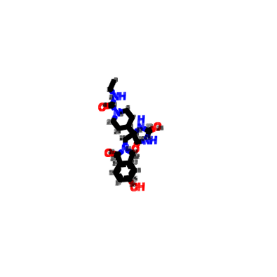 CCNC(=O)N1CCC(C2(CN3Cc4cc(O)ccc4C3=O)NC(=O)NC2=O)CC1